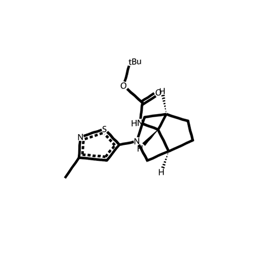 Cc1cc(N2C[C@H]3CC[C@@H](C2)[C@@H]3NC(=O)OC(C)(C)C)sn1